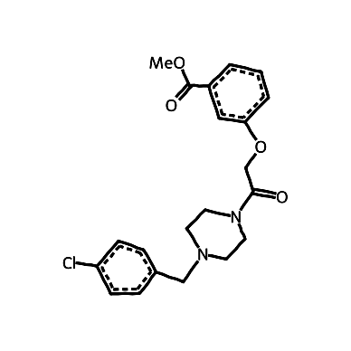 COC(=O)c1cccc(OCC(=O)N2CCN(Cc3ccc(Cl)cc3)CC2)c1